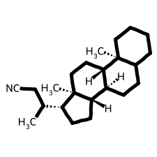 CC(CC#N)[C@H]1CC[C@H]2[C@@H]3CCC4CCCC[C@]4(C)[C@H]3CC[C@]12C